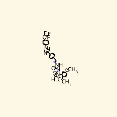 COc1ccc(C(C)C)c(N2CCS/C2=N\C(=O)N/C=C/c2ccc(-c3ncn(-c4ccc(OC(F)(F)F)cc4)n3)cc2)c1